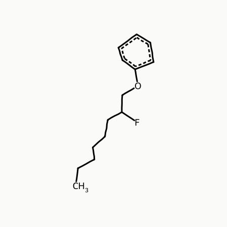 CCCCCCC(F)COc1ccccc1